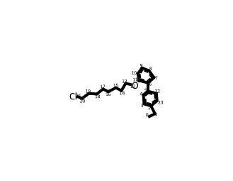 CCc1ccc(-c2ccccc2OCCCCCCCCCl)cc1